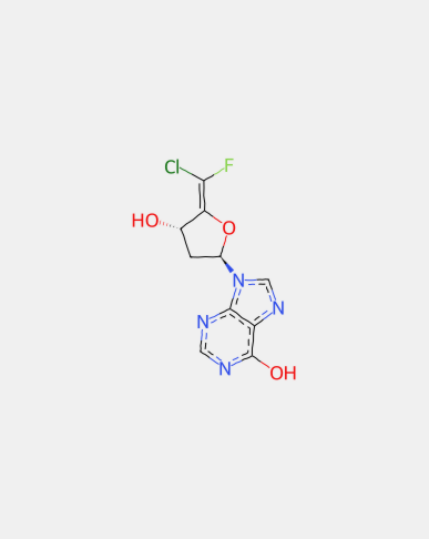 Oc1ncnc2c1ncn2[C@H]1C[C@H](O)C(=C(F)Cl)O1